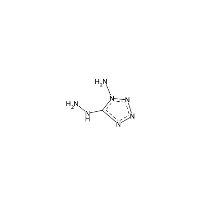 NNc1nnnn1N